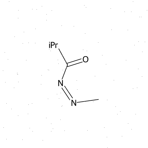 C/N=N\C(=O)C(C)C